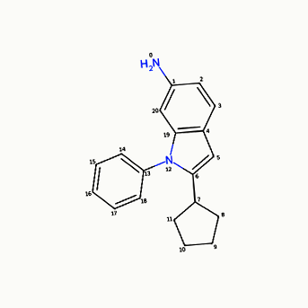 Nc1ccc2cc(C3CCCC3)n(-c3ccccc3)c2c1